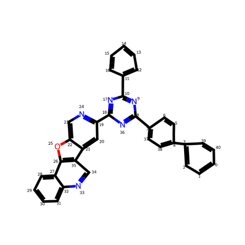 c1ccc(-c2ccc(-c3nc(-c4ccccc4)nc(-c4cc5c(cn4)oc4c6ccccc6ncc54)n3)cc2)cc1